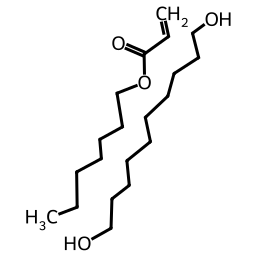 C=CC(=O)OCCCCCCC.OCCCCCCCCCCO